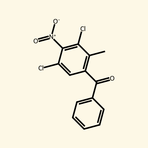 Cc1c(C(=O)c2ccccc2)cc(Cl)c([N+](=O)[O-])c1Cl